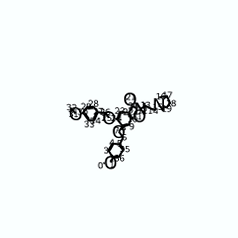 COc1ccc(COc2cc3on(CCN4CCCC4)c(=O)c3cc2OCc2ccc(OC)cc2)cc1